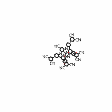 N#Cc1cc(C#N)cc(-c2ccc3c(c2)c2cc(-c4cc(C#N)cc(C#N)c4)ccc2n3-c2cc(C#N)cc(-n3c4ccc(-c5cc(C#N)cc(C#N)c5)cc4c4cc(-c5cc(C#N)cc(C#N)c5)ccc43)c2-c2nc(-c3ccccc3)nc(-c3ccccc3)n2)c1